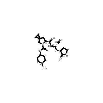 CN1CCC(OC(=O)N2CC3(CC3)C[C@H]2C(=O)N[C@H](C#N)C[C@@H]2CCNC2=O)CC1